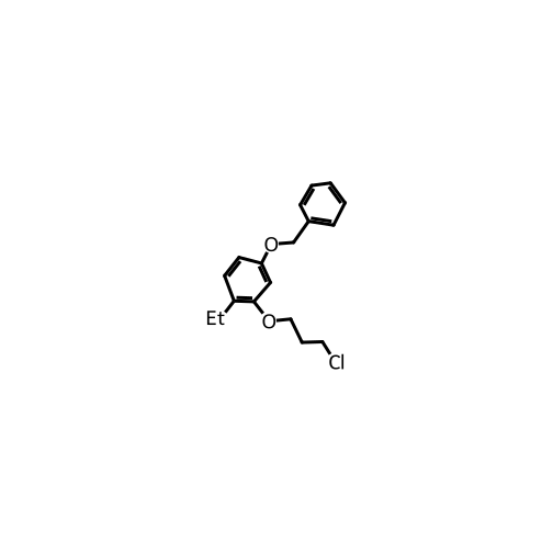 CCc1ccc(OCc2ccccc2)cc1OCCCCl